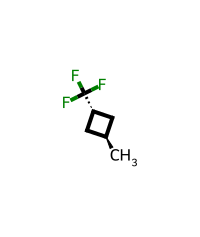 C[C@H]1C[C@H](C(F)(F)F)C1